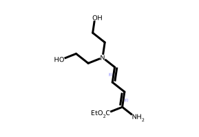 CCOC(=O)/C(N)=C\C=C\N(CCO)CCO